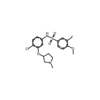 COc1ccc(S(=O)(=O)Nc2ccc(Cl)c(OC3CCN(C)C3)c2)cc1F